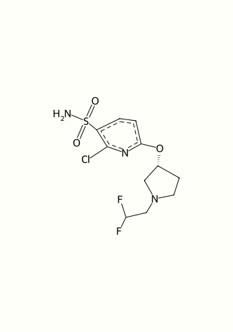 NS(=O)(=O)c1ccc(O[C@@H]2CCN(CC(F)F)C2)nc1Cl